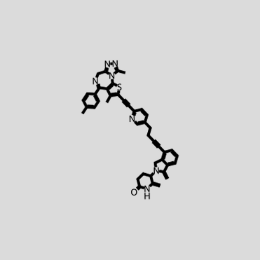 C=C1NC(=O)CCC1N1Cc2c(C#CCCc3ccc(C#Cc4sc5c(c4C)C(c4ccc(C)cc4)=NCc4nnc(C)n4-5)nc3)cccc2C1=C